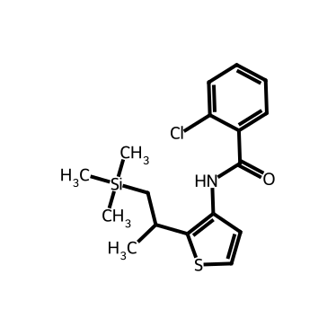 CC(C[Si](C)(C)C)c1sccc1NC(=O)c1ccccc1Cl